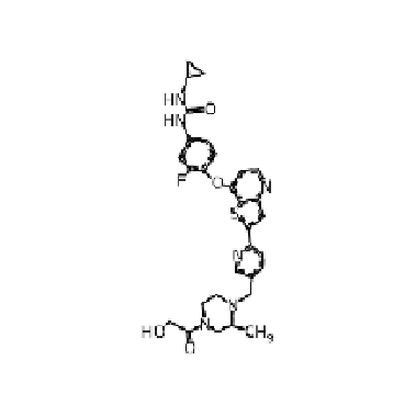 CC1CN(C(=O)CO)CCN1Cc1ccc(-c2cc3nccc(Oc4ccc(NC(=O)NC5CC5)cc4F)c3s2)nc1